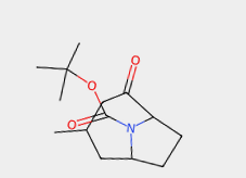 CC1CC(=O)C2CCC(C1)N2C(=O)OC(C)(C)C